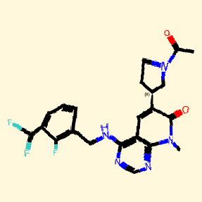 CC(=O)N1CC[C@H](c2cc3c(NCc4cccc(C(F)F)c4F)ncnc3n(C)c2=O)C1